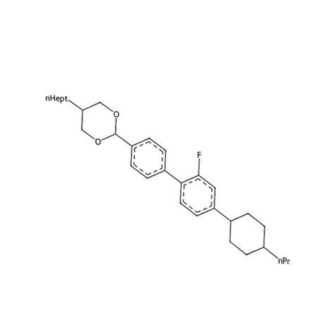 CCCCCCCC1COC(c2ccc(-c3ccc(C4CCC(CCC)CC4)cc3F)cc2)OC1